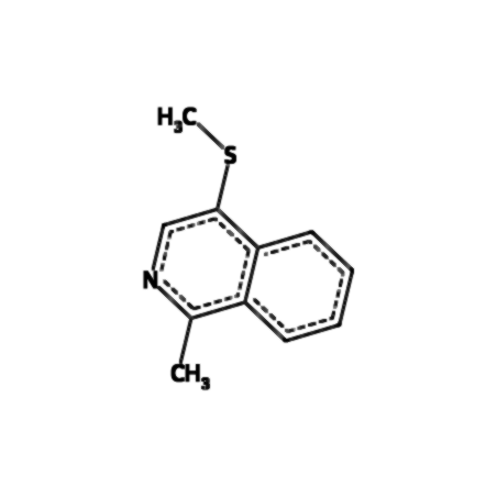 CSc1cnc(C)c2ccccc12